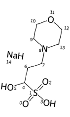 O=S(=O)(O)C(O)CCN1CCOCC1.[NaH]